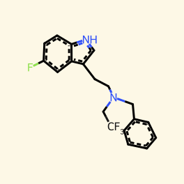 Fc1ccc2[nH]cc(CCN(Cc3ccccc3)CC(F)(F)F)c2c1